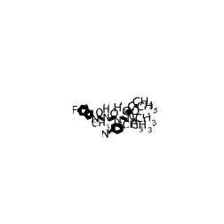 Cc1ccc(C#N)cc1N(CCN(C(=O)OC(C)(C)C)C(C)C)C(=O)CNCC(=O)N(C)C1Cc2ccc(F)cc2C1